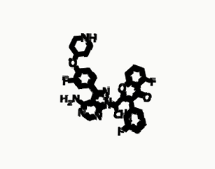 CC(c1oc2cccc(F)c2c(=O)c1-c1cccc(F)c1)n1nc(-c2ccc(OC3CCNCC3)c(F)c2)c2c(N)ncnc21